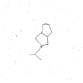 CC(C)N1CC2CCCC2C1